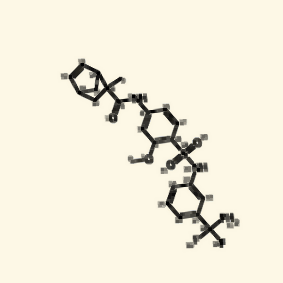 COc1cc(NC(=O)C2(C)CC3C=CC2C3)ccc1S(=O)(=O)Nc1cccc(C(F)(F)P)c1